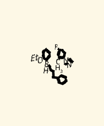 CCOc1ccccc1BCCCCc1ccccc1.Cc1cc(F)ccc1-n1ccnc1